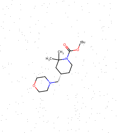 CC(C)(C)OC(=O)N1CC[C@H](CN2CCOCC2)CC1(C)C